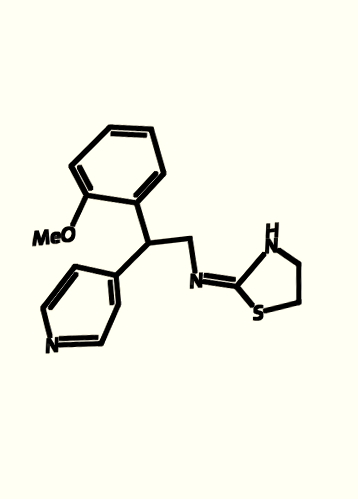 COc1ccccc1C(CN=C1NCCS1)c1ccncc1